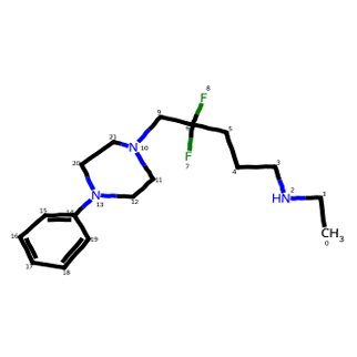 CCNCCCC(F)(F)CN1CCN(c2ccccc2)CC1